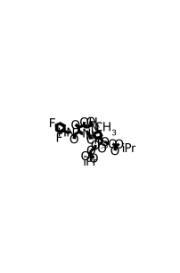 CC(C)OC(=O)OCOP(=O)(OCOC(=O)OC(C)C)[C@@H]1CCC2(C1)N(C)C(=O)c1c(O)c(=O)c(C(=O)NCc3ccc(F)cc3F)cn1N2C